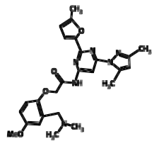 COc1ccc(OCC(=O)Nc2cc(-n3nc(C)cc3C)nc(-c3ccc(C)o3)n2)c(CN(C)C)c1